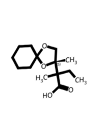 CCC(C)(C(=O)O)[C@@]1(C)COC2(CCCCC2)O1